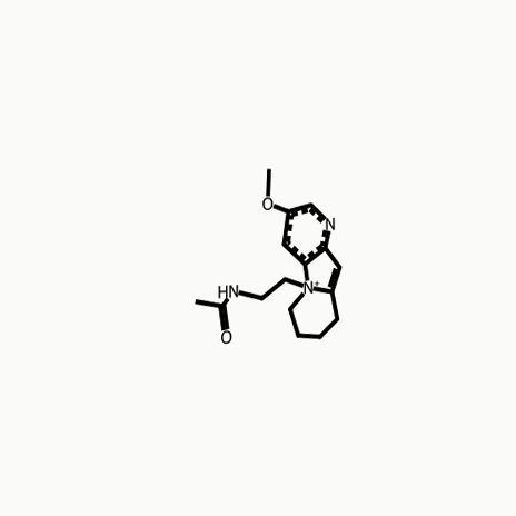 COc1cnc2c(c1)[N+]1(CCNC(C)=O)CCCCC1=C2